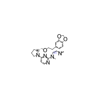 C=N/C=C\N(C)c1nccc(N2CCC[C@@H]2COCCc2ccc3c(c2)OCO3)n1